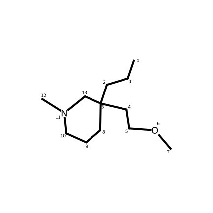 CCCC1(CCOC)CCCN(C)C1